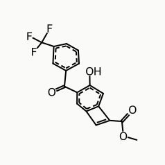 COC(=O)C1=Cc2cc(C(=O)c3cccc(C(F)(F)F)c3)c(O)cc21